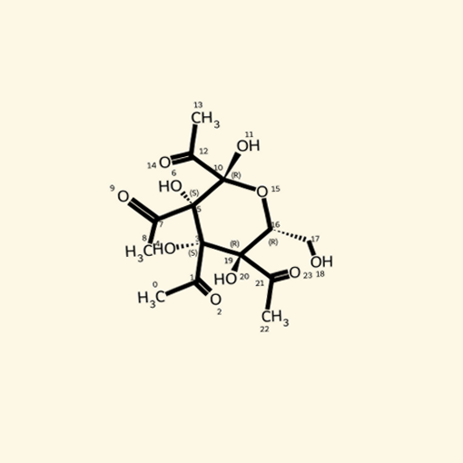 CC(=O)[C@@]1(O)[C@@](O)(C(C)=O)[C@](O)(C(C)=O)O[C@H](CO)[C@]1(O)C(C)=O